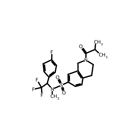 CC(C)C(=O)N1CCc2ccc(S(=O)(=O)N(C)C(c3ccc(F)cc3)C(F)(F)F)cc2C1